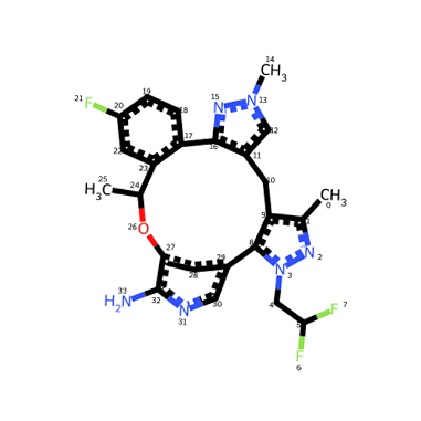 Cc1nn(CC(F)F)c2c1Cc1cn(C)nc1-c1ccc(F)cc1C(C)Oc1cc-2cnc1N